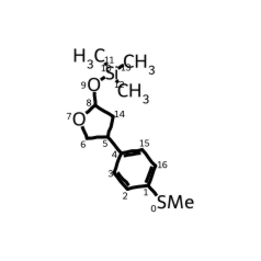 CSc1ccc(C2COC(O[Si](C)(C)C)C2)cc1